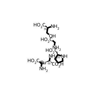 CC[C@H](C)[C@H](N)C(=O)O.NCC(=O)O.NCC(=O)O.N[C@@H](CO)C(=O)O.O=C(O)[C@@H]1CCCN1